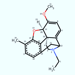 CCN1CC[C@@]23C4=CC=C(OC)[C@@H]2Oc2c(C)ccc(c23)CC41